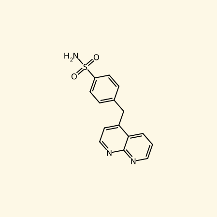 NS(=O)(=O)c1ccc(Cc2ccnc3ncccc23)cc1